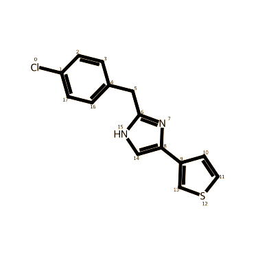 Clc1ccc(Cc2nc(-c3ccsc3)c[nH]2)cc1